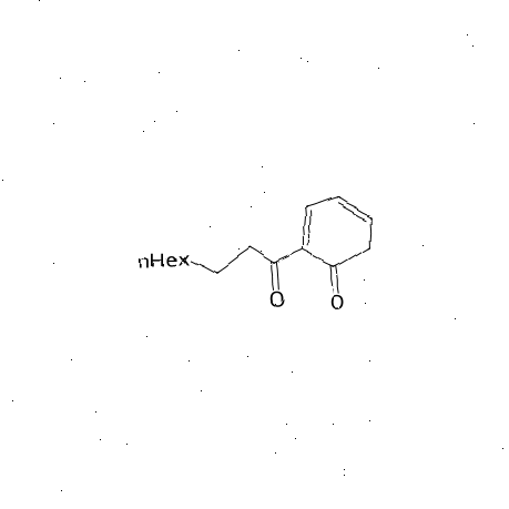 CCCCCCCCC(=O)C1=CC=CCC1=O